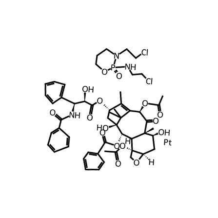 CC(=O)O[C@H]1C(=O)[C@@]2(C)[C@H]([C@H](OC(=O)c3ccccc3)[C@]3(O)C[C@H](OC(=O)[C@H](O)[C@@H](NC(=O)c4ccccc4)c4ccccc4)C(C)=C1C3(C)C)[C@]1(OC(C)=O)CO[C@@H]1C[C@@H]2O.O=P1(NCCCl)OCCCN1CCCl.[Pt]